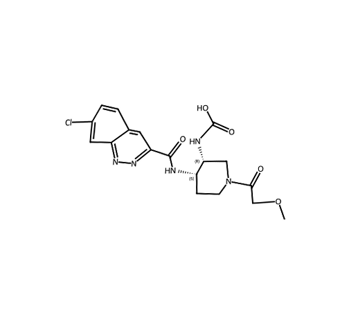 COCC(=O)N1CC[C@H](NC(=O)c2cc3ccc(Cl)cc3nn2)[C@H](NC(=O)O)C1